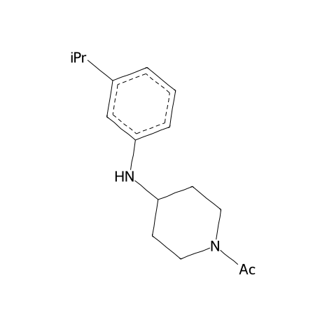 CC(=O)N1CCC(Nc2cccc(C(C)C)c2)CC1